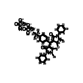 Cc1c(C(=C2C(=O)N(c3ccccc3)N(C)C2C)c2ccc([N+](C)(C)C)cc2)c(=O)n(-c2ccccc2)n1C.[O-][Cl+3]([O-])([O-])O.[O-][Cl+3]([O-])([O-])[O-]